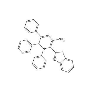 NC1=C(c2nc3ccccc3s2)N(c2ccccc2)C(c2ccccc2)C(c2ccccc2)=C1